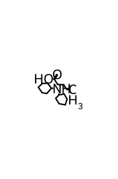 C1CCC(NC2CCCCC2)CC1.CCCCC(=O)O